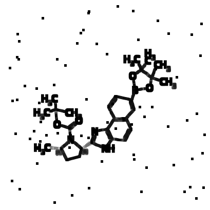 C[C@H]1CC[C@@H](c2nc3c(ccc4cc(B5OC(C)(C)C(C)(C)O5)ccc43)[nH]2)N1C(=O)OC(C)(C)C